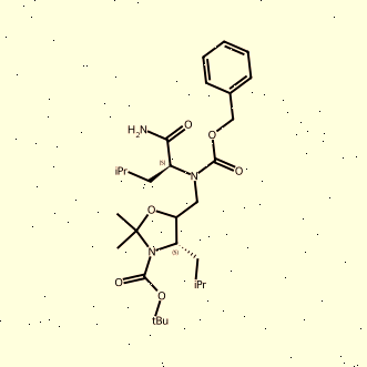 CC(C)C[C@@H](C(N)=O)N(CC1OC(C)(C)N(C(=O)OC(C)(C)C)[C@H]1CC(C)C)C(=O)OCc1ccccc1